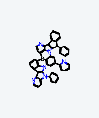 c1ccc(C2c3ccccc3-c3c2n2c4c(ccnc34)B3c4c-2cc(-c2ccccn2)cc4-n2c4c3cccc4c3c4ncccc4n(-c4ccccc4)c32)cc1